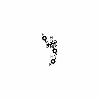 Cn1c(-c2ccc(CNCc3ccc(F)cc3)cc2)nc(C(=O)NCc2ccc(F)cc2)c(O)c1=O